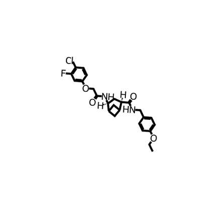 CCOc1ccc(CNC(=O)[C@@H]2C[C@H](NC(=O)COc3ccc(Cl)c(F)c3)C3CC2C3)cc1